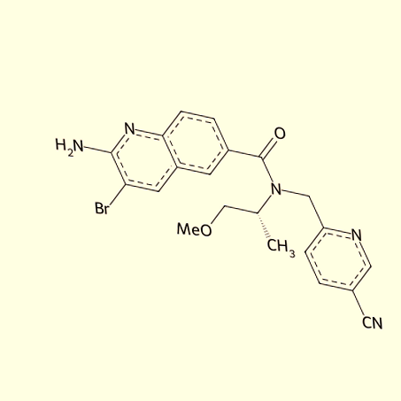 COC[C@@H](C)N(Cc1ccc(C#N)cn1)C(=O)c1ccc2nc(N)c(Br)cc2c1